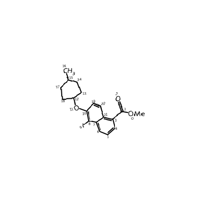 COC(=O)c1cccc2c(I)c(OC3CCC(C)CC3)ccc12